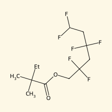 CCC(C)(C)C(=O)OCC(F)(F)CC(F)(F)CC(F)F